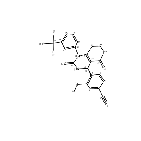 CSc1cc(C#N)ccc1[C@H]1NC(=O)N(c2cccc(C(F)(F)F)c2)C2=C1C(=O)CCC2